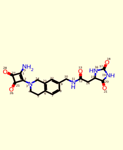 Nc1c(N2CCc3ccc(CNC(=O)CC4NC(=O)NC4=O)cc3C2)c(=O)c1=O